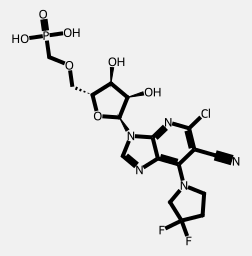 N#Cc1c(Cl)nc2c(ncn2[C@H]2O[C@H](COCP(=O)(O)O)[C@@H](O)[C@H]2O)c1N1CCC(F)(F)C1